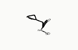 O=NNC(=O)C1CC1